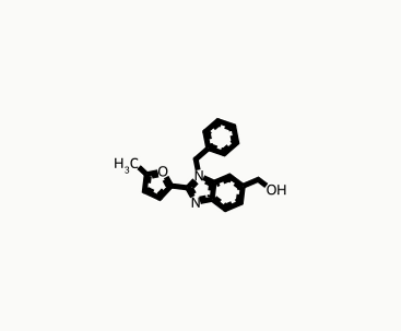 Cc1ccc(-c2nc3ccc(CO)cc3n2Cc2ccccc2)o1